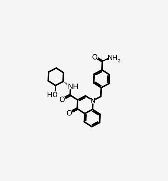 NC(=O)c1ccc(Cn2cc(C(=O)N[C@H]3CCCC[C@@H]3O)c(=O)c3ccccc32)cc1